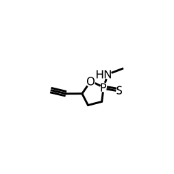 C#CC1CCP(=S)(NC)O1